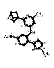 CC(=O)Nc1cc(Nc2cc(C)nc(C34COC(C3)C4)n2)c(-c2ccn(C)n2)cn1